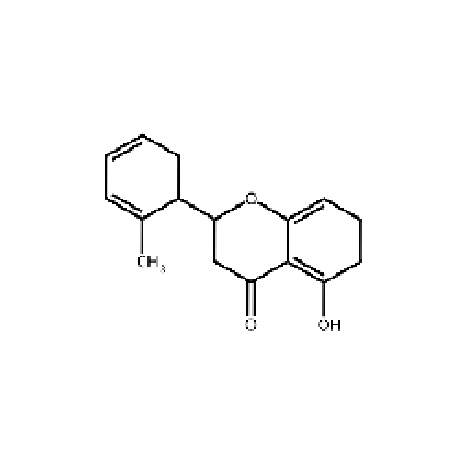 CC1=CC=CCC1C1CC(=O)C2=C(O)CCC=C2O1